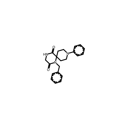 O=C1CNC(=O)C2(CCN(c3ccccc3)CC2)N1Cc1ccccc1